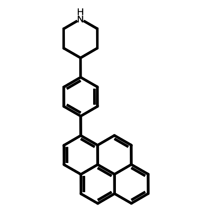 c1cc2ccc3ccc(-c4ccc(C5CCNCC5)cc4)c4ccc(c1)c2c34